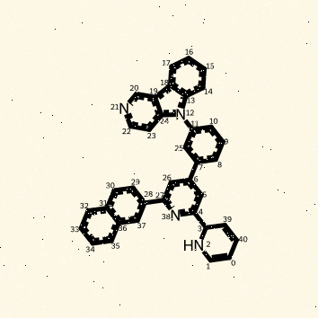 C1=CNC(c2cc(-c3cccc(-n4c5ccccc5c5cnccc54)c3)cc(-c3ccc4ccccc4c3)n2)C=C1